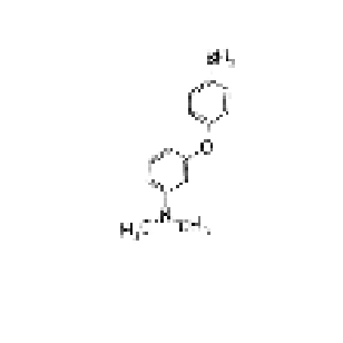 Bc1ccc(Oc2cccc(N(C)C)c2)cc1